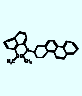 COc1cccc2cccc(N(C(C)=O)C3CCc4c(ccc5c4ccc4ccccc45)C3)c12